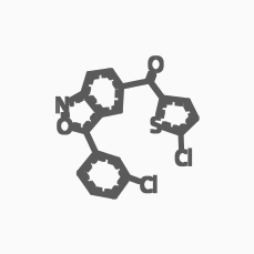 O=C(c1ccc2noc(-c3cccc(Cl)c3)c2c1)c1ccc(Cl)s1